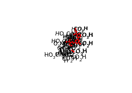 Cc1ncc([N+](=O)[O-])n1CCNC(=O)[C@H](CCC(=O)O)NN[C@@H](CC(=O)O)C(=O)N[C@@H](CCC(=O)O)C(=O)C(=O)[C@H](CC(=O)O)NC(=O)[C@H](CCC(=O)O)NN[C@@H](CC(=O)O)C(=O)N[C@@H](CCC(=O)O)C(=O)C(=O)[C@H](CC(=O)O)NC(=O)[C@H](CCC(=O)O)NN[C@@H](CC(=O)O)C(=O)N[C@@H](CCC(=O)O)C(=O)C(=O)[C@H](CC(=O)O)NC(=O)[C@H](CCC(=O)O)NC(=O)[C@H](CC(=O)O)NC(=O)[C@@H](N)CCC(=O)O